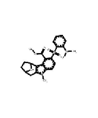 CN(C)c1ccccc1S(=O)(=O)c1ccc2c(c1C(=O)OC(C)(C)C)c1c(n2C)CC2CCC1N2